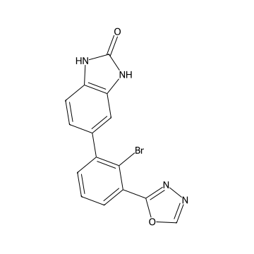 O=c1[nH]c2ccc(-c3cccc(-c4nnco4)c3Br)cc2[nH]1